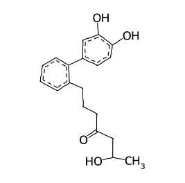 CC(O)CC(=O)CCCc1ccccc1-c1ccc(O)c(O)c1